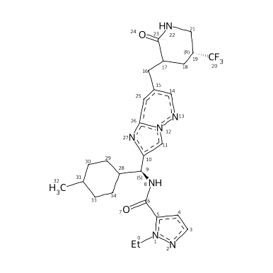 CCn1nccc1C(=O)N[C@H](c1cn2ncc(CC3C[C@@H](C(F)(F)F)CNC3=O)cc2n1)C1CCC(C)CC1